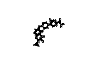 CNC(=O)c1ncc(N2CCN(Cc3ccc4c(c3F)NC(=O)[C@@H](C3CC3)O4)CC2)c(F)n1